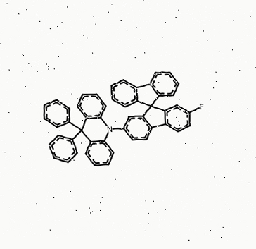 Fc1ccc2c(c1)C1(c3ccccc3-c3ccccc31)c1cc(N3c4ccccc4C(c4ccccc4)(c4ccccc4)c4ccccc43)ccc1-2